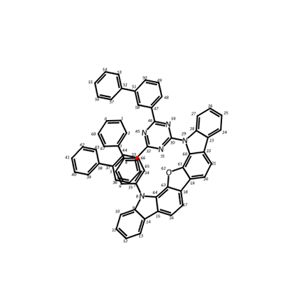 c1ccc(-c2ccc(-n3c4ccccc4c4ccc5c6ccc7c8ccccc8n(-c8nc(-c9cccc(-c%10ccccc%10)c9)nc(-c9cccc(-c%10ccccc%10)c9)n8)c7c6oc5c43)cc2)cc1